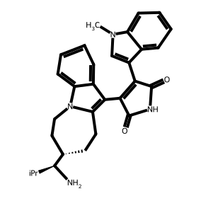 CC(C)[C@H](N)[C@H]1CCc2c(C3=C(c4cn(C)c5ccccc45)C(=O)NC3=O)c3ccccc3n2CC1